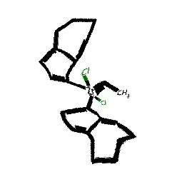 C[CH]=[Zr]([Cl])([Cl])([C]1=CC=C2CCCC=C21)[C]1=CC=C2CCCC=C21